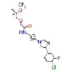 C[C@H](COCC(=O)NC12CC(n3cnc(-c4ccc(Cl)c(F)c4)c3)(C1)C2)OC(F)(F)F